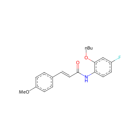 CCCCOc1cc(F)ccc1NC(=O)/C=C/c1ccc(OC)cc1